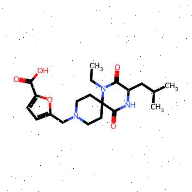 CCN1C(=O)C(CC(C)C)NC(=O)C12CCN(Cc1ccc(C(=O)O)o1)CC2